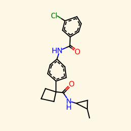 CC1CC1NC(=O)C1(c2ccc(NC(=O)c3cccc(Cl)c3)cc2)CCC1